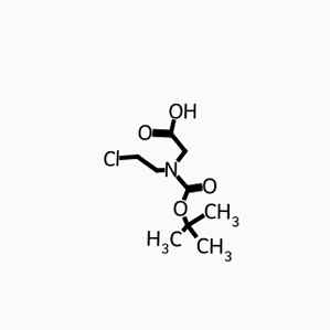 CC(C)(C)OC(=O)N(CCCl)CC(=O)O